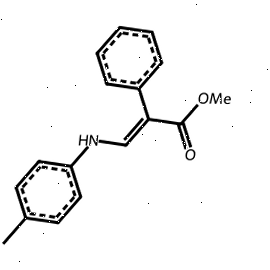 COC(=O)C(=CNc1ccc(C)cc1)c1ccccc1